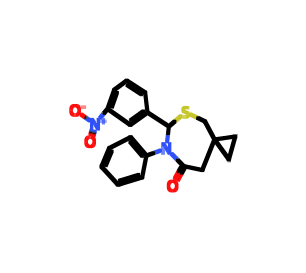 O=C1CC2(CC2)CSC(c2cccc([N+](=O)[O-])c2)N1c1ccccc1